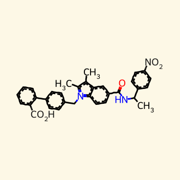 Cc1c(C)n(Cc2ccc(-c3ccccc3C(=O)O)cc2)c2ccc(C(=O)NC(C)c3ccc([N+](=O)[O-])cc3)cc12